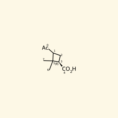 CC(=O)C1C[C@@H](C(=O)O)C1(C)C